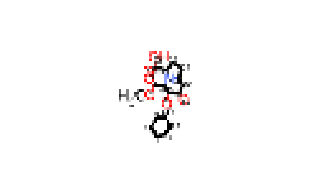 COC(=O)c1c(OCc2ccccc2)c(=O)cc2n1C(C(=O)O)CC2